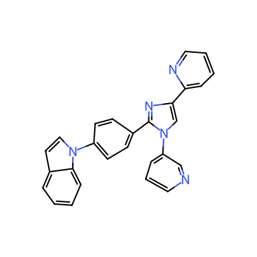 c1ccc(-c2cn(-c3cccnc3)c(-c3ccc(-n4ccc5ccccc54)cc3)n2)nc1